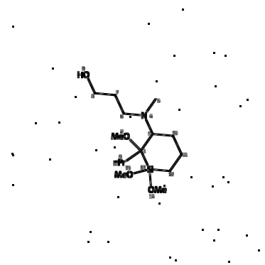 CCCC1(OC)C(N(C)CCCO)CCC[Si]1(OC)OC